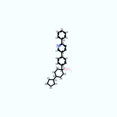 BC1(c2ccc(-c3ccc(-c4ccccc4)nc3)cc2)CCC(C2CCCC2)CC1